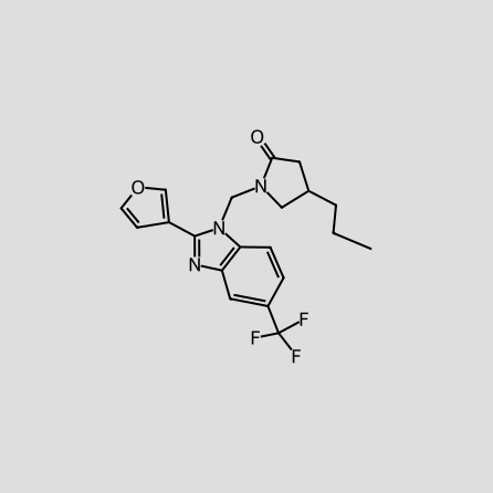 CCCC1CC(=O)N(Cn2c(-c3ccoc3)nc3cc(C(F)(F)F)ccc32)C1